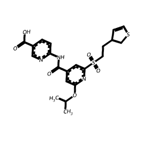 CC(C)Oc1cc(C(=O)Nc2ccc(C(=O)O)cn2)cc(S(=O)(=O)CCC2C=CSC2)n1